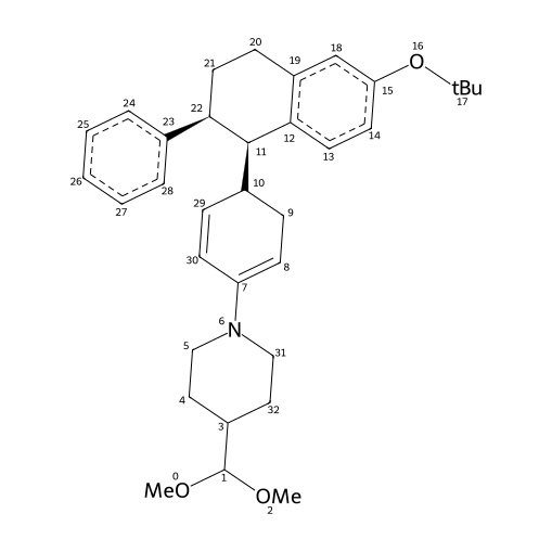 COC(OC)C1CCN(C2=CCC([C@@H]3c4ccc(OC(C)(C)C)cc4CC[C@@H]3c3ccccc3)C=C2)CC1